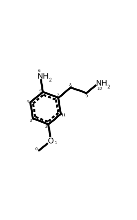 COc1ccc(N)c(CCN)c1